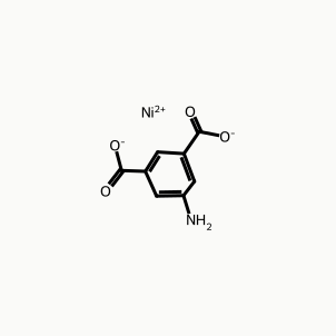 Nc1cc(C(=O)[O-])cc(C(=O)[O-])c1.[Ni+2]